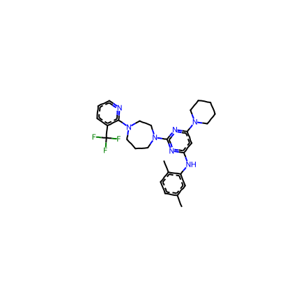 Cc1ccc(C)c(Nc2cc(N3CCCCC3)nc(N3CCCN(c4ncccc4C(F)(F)F)CC3)n2)c1